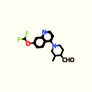 CC1CN(c2ccnc3cc(OC(F)F)ccc23)CCC1C=O